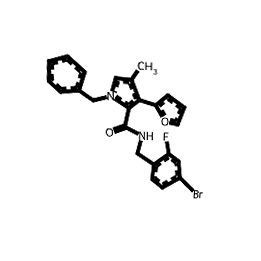 Cc1cn(Cc2ccccc2)c(C(=O)NCc2ccc(Br)cc2F)c1-c1ccco1